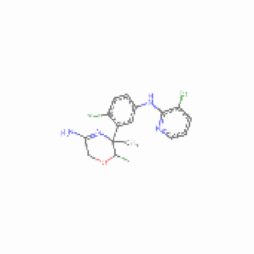 CC1(c2cc(Nc3ncccc3Br)ccc2F)N=C(N)COC1F